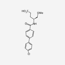 COC[C@H](CCC(=O)O)NC(=O)c1ccc(-c2ccc(Cl)cc2)cc1